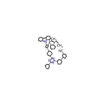 C/C=C\C1=C(C)C2(c3ccccc31)c1cc(-c3ccc(-c4nc(-c5ccccc5)nc(-c5cccc(-c6cccc(C#N)c6)c5)n4)cc3)ccc1-n1c3ccccc3c3cccc2c31